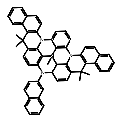 CC1(C)C2=C3C4C(C=C2)N(c2ccc5ccccc5c2)c2ccc5c6c2[Si]4(C)c2c(cccc2N6c2ccc4ccccc4c2C5(C)C)N3c2ccc3ccccc3c21